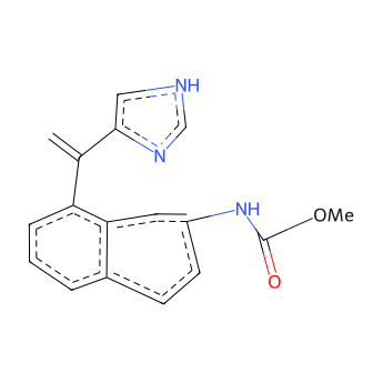 C=C(c1c[nH]cn1)c1cccc2ccc(NC(=O)OC)cc12